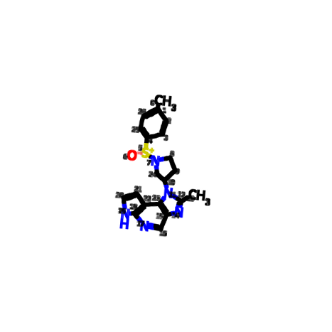 Cc1ccc([S+]([O-])N2CCC(n3c(C)nc4cnc5[nH]ccc5c43)C2)cc1